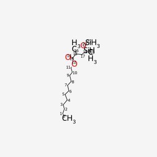 CCCCCCCCCCCCOC(=O)C(C)C[SiH](C)O[SiH3]